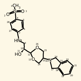 CS(=O)(=O)c1ccc(NC[C@H](O)C2OCC(N3Cc4ccccc4C3)CO2)cc1